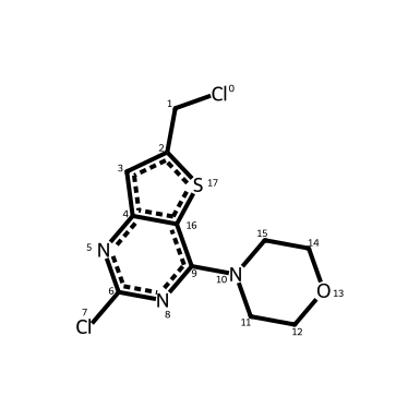 ClCc1cc2nc(Cl)nc(N3CCOCC3)c2s1